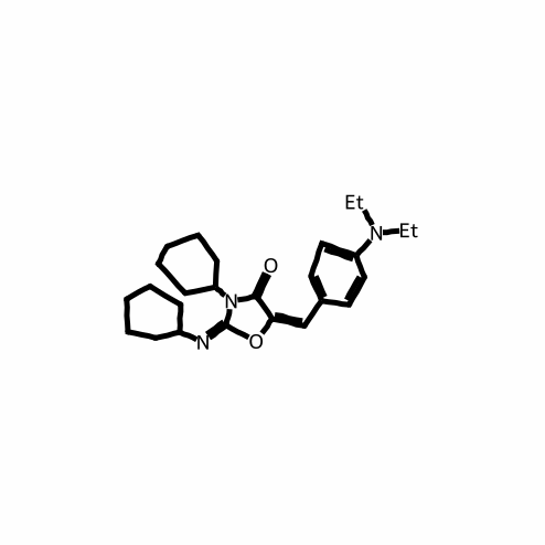 CCN(CC)c1ccc(/C=C2/O/C(=N/C3CCCCC3)N(C3CCCCC3)C2=O)cc1